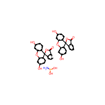 NP(O)O.O=C1OC2(c3ccc(O)cc3Oc3cc(O)ccc32)c2ccccc21.O=C1OC2(c3ccc(O)cc3Oc3cc(O)ccc32)c2ccccc21